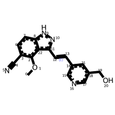 COc1c(C#N)ccc2[nH]nc(/C=C/c3cncc(CO)c3)c12